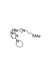 CSCCCN1CC(Nc2nccc(N3CCCCCC3)n2)C1